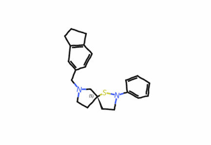 c1ccc(N2CC[C@]3(CCN(Cc4ccc5c(c4)CCC5)C3)S2)cc1